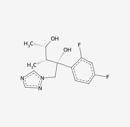 C[C@H](O)[C@@H](C)[C@](O)(Cn1cncn1)c1ccc(F)cc1F